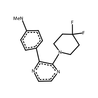 CNc1ccc(-c2nccnc2N2CCC(F)(F)CC2)cc1